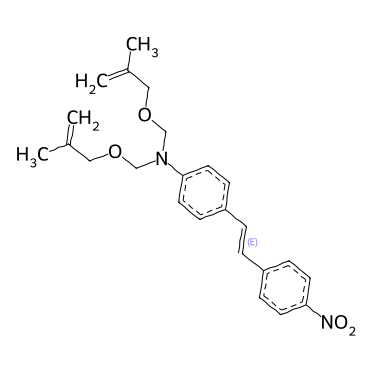 C=C(C)COCN(COCC(=C)C)c1ccc(/C=C/c2ccc([N+](=O)[O-])cc2)cc1